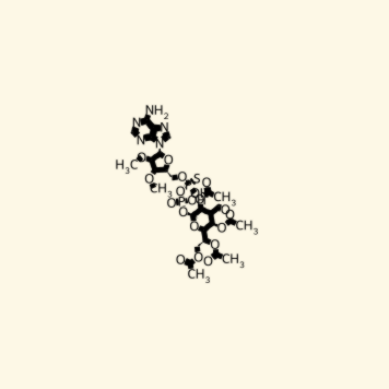 COC1C(OC)[C@@H](COP(O)(=S)OP(=O)(O)O[C@@H]2OC([C@@H](COC(C)=O)OC(C)=O)[C@H](OC(C)=O)C(C=O)C2OC(C)=O)O[C@H]1n1cnc2c(N)ncnc21